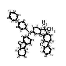 CC1(C)c2ccc(N(c3ccc(-c4ccccc4)cc3)c3ccc4c(c3)oc3ccccc34)cc2-c2c1ccc1c2oc2ccccc21